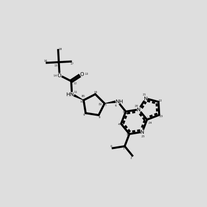 CC(C)c1cc(N[C@H]2CC[C@@H](NC(=O)OC(C)(C)C)C2)n2nccc2n1